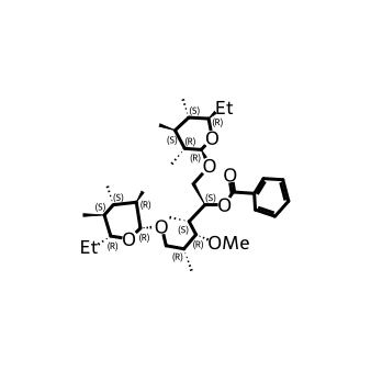 CC[C@H]1O[C@@H](OC[C@@H](C)[C@@H](OC)[C@H](C)[C@@H](CO[C@@H]2O[C@H](CC)[C@@H](C)[C@H](C)[C@H]2C)OC(=O)c2ccccc2)[C@H](C)[C@@H](C)[C@@H]1C